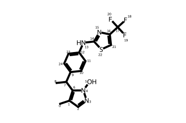 Cc1cnn(O)c1C(C)c1ccc(Nc2nc(C(F)(F)F)cs2)cc1